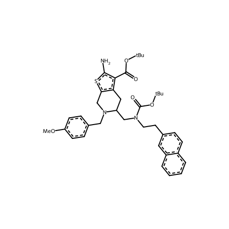 COc1ccc(CN2Cc3sc(N)c(C(=O)OC(C)(C)C)c3CC2CN(CCc2ccc3ccccc3c2)C(=O)OC(C)(C)C)cc1